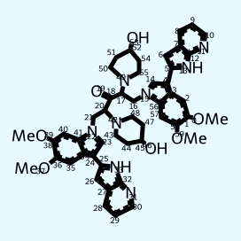 COc1cc2c(-c3cc4cccnc4[nH]3)cn(CC(C(=O)C(Cn3cc(-c4cc5cccnc5[nH]4)c4cc(OC)c(OC)cc43)N3CCC(O)CC3)N3CCC(O)CC3)c2cc1OC